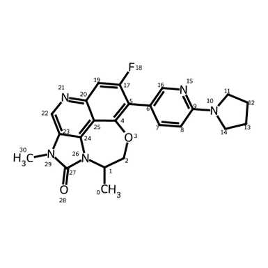 CC1COc2c(-c3ccc(N4CCCC4)nc3)c(F)cc3ncc4c(c23)n1c(=O)n4C